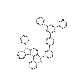 c1ccc(-n2c3ccccc3c3c4c(ccc32)c(-c2cccc(-c3ccc(-c5nc(-c6cccnc6)nc(-c6cccnc6)n5)cc3)c2)nc2ccccc24)cc1